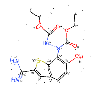 CCOC(=O)NN(C(=O)OCC)c1c(O)ccc2cc(C(=N)N)sc12